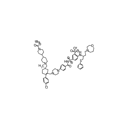 CC(C)(C)OC(=O)N1CCC(C2CCN(C[C@]3(C)CCC(c4ccc(Cl)cc4)=C(CN4CCN(c5ccc(C(=O)NS(=O)(=O)c6ccc(NC(CCN7CCCOCC7)CSc7ccccc7)c(S(=O)(=O)C(F)(F)F)c6)cc5)CC4)C3)CC2)CC1